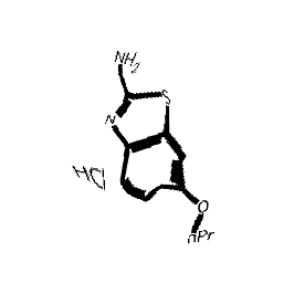 CCCOc1ccc2nc(N)sc2c1.Cl